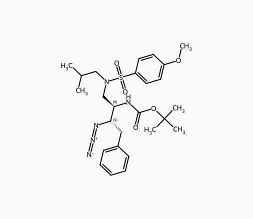 COc1ccc(S(=O)(=O)N(CC(C)C)C[C@@H](NC(=O)OC(C)(C)C)[C@H](Cc2ccccc2)N=[N+]=[N-])cc1